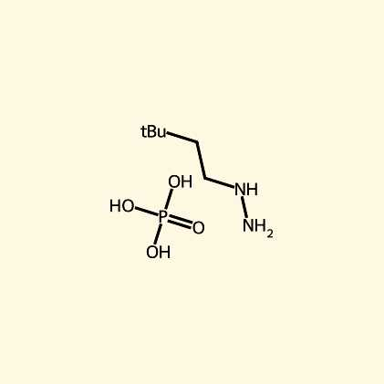 CC(C)(C)CCNN.O=P(O)(O)O